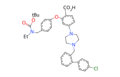 CCN(Cc1ccc(Oc2cc(N3CCN(Cc4ccccc4-c4ccc(Cl)cc4)CC3)ccc2C(=O)O)cc1)C(=O)OC(C)(C)C